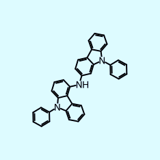 c1ccc(-n2c3ccccc3c3ccc(Nc4cccc5c4c4ccccc4n5-c4ccccc4)cc32)cc1